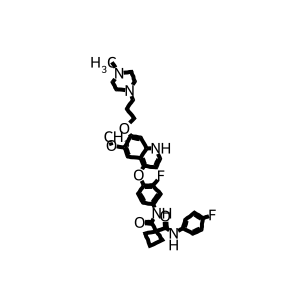 COC1=CC2=C(Oc3ccc(NC(=O)C4(C(=O)Nc5ccc(F)cc5)CCC4)cc3F)C=CNC2C=C1OCCCN1CCN(C)CC1